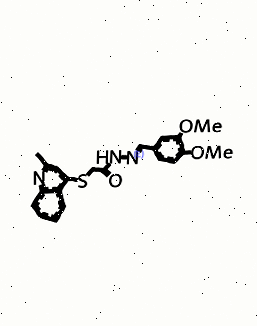 COc1ccc(/C=N/NC(=O)CSc2cc(C)nc3ccccc23)cc1OC